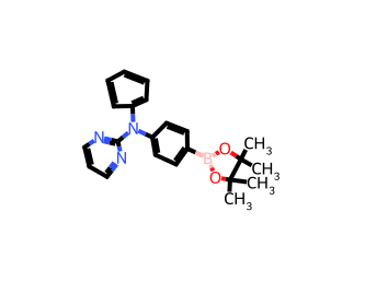 CC1(C)OB(c2ccc(N(c3ccccc3)c3ncccn3)cc2)OC1(C)C